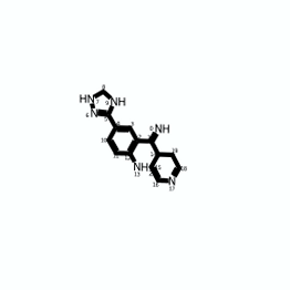 N=C(c1cc(C2=NNCN2)ccc1N)C1C=CN=CC1